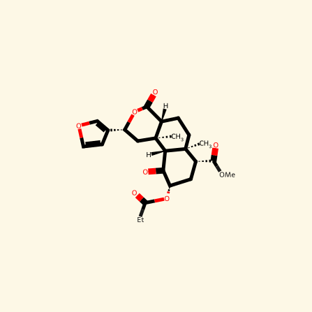 CCC(=O)O[C@H]1C[C@@H](C(=O)OC)[C@]2(C)CC[C@H]3C(=O)O[C@@H](c4ccoc4)C[C@]3(C)[C@H]2C1=O